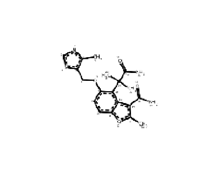 Cc1ncsc1COc1ccc2oc(C)c(C(N)=O)c2c1C(C)(C)C(N)=O